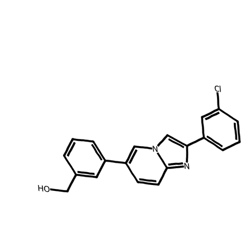 OCc1cccc(-c2ccc3nc(-c4cccc(Cl)c4)cn3c2)c1